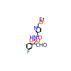 CCOCc1ccc(C(=O)NS(=O)(=O)C(C=O)c2cccc(F)c2)cn1